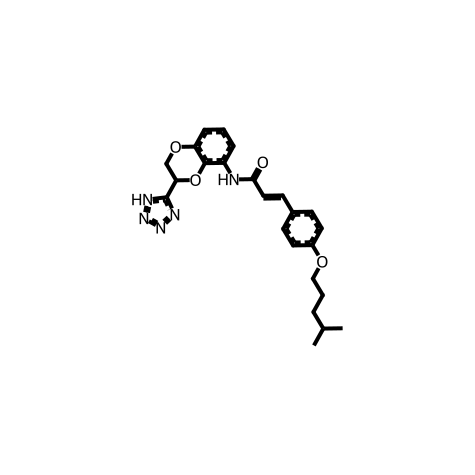 CC(C)CCCOc1ccc(C=CC(=O)Nc2cccc3c2OC(c2nnn[nH]2)CO3)cc1